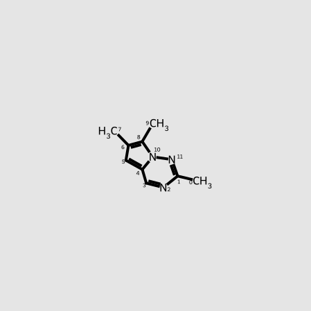 Cc1ncc2cc(C)c(C)n2n1